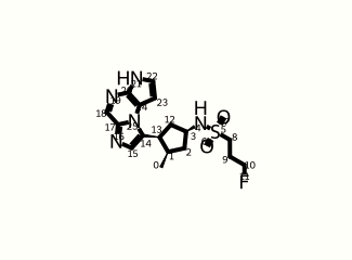 C[C@@H]1C[C@H](NS(=O)(=O)CCCF)C[C@@H]1c1cnc2cnc3[nH]ccc3n12